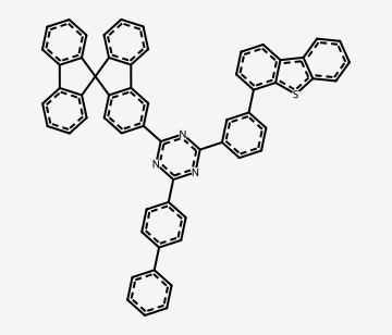 c1ccc(-c2ccc(-c3nc(-c4cccc(-c5cccc6c5sc5ccccc56)c4)nc(-c4ccc5c(c4)-c4ccccc4C54c5ccccc5-c5ccccc54)n3)cc2)cc1